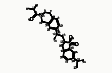 CC(C)C(=O)N1CCc2ccc([C@H](C)CC3Cc4ccc(C(C)C)cc4S3(=O)=O)cc2C1